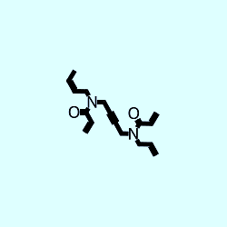 C=CCN(CC#CCN(C/C=C\C)C(=O)C=C)C(=O)C=C